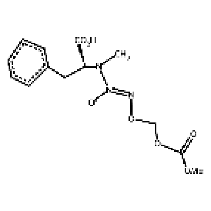 COC(=O)OCON=[N+]([O-])N(C)[C@@H](Cc1ccccc1)C(=O)O